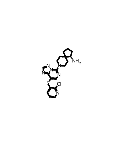 N[C@@H]1CCCC12CCN(c1ncc(Sc3cccnc3Cl)c3ncnn13)CC2